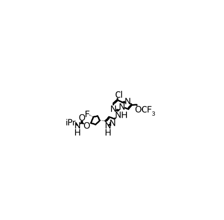 CC(C)NC(=O)O[C@H]1C[C@@H](c2cc(Nc3ncc(Cl)c4nc(COC(F)(F)F)cn34)n[nH]2)C[C@H]1F